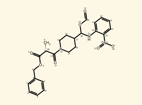 C[C@@H](C(=O)OCc1ccccc1)C(=O)N1CCC(C(Nc2ccccc2[N+](=O)[O-])OC=O)CC1